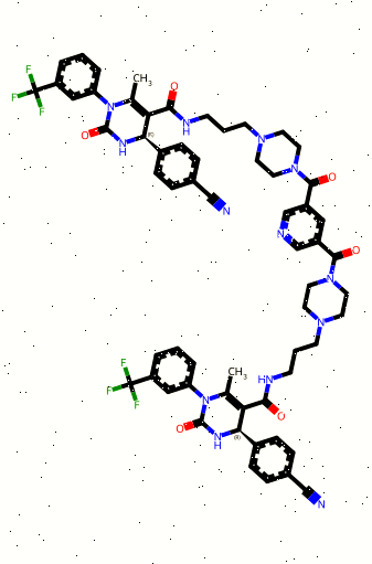 CC1=C(C(=O)NCCCN2CCN(C(=O)c3cncc(C(=O)N4CCN(CCCNC(=O)C5=C(C)N(c6cccc(C(F)(F)F)c6)C(=O)N[C@@H]5c5ccc(C#N)cc5)CC4)c3)CC2)[C@@H](c2ccc(C#N)cc2)NC(=O)N1c1cccc(C(F)(F)F)c1